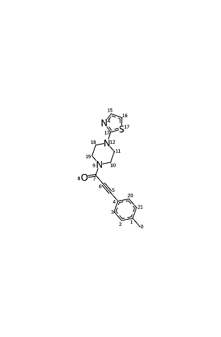 Cc1ccc(C#CC(=O)N2CCN(c3nccs3)CC2)cc1